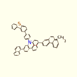 Cc1cccc2c1ccc1cc(-c3ccc(N(c4ccc(-c5ccc6sc7ccccc7c6c5)cc4)c4cc(-c5cccc6ccccc56)ccc4-c4ccccc4)cc3)ccc12